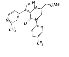 COCC1CN(c2ccc(C(F)(F)F)cc2)C(=O)c2c(-c3ccnc(C)c3)cnn21